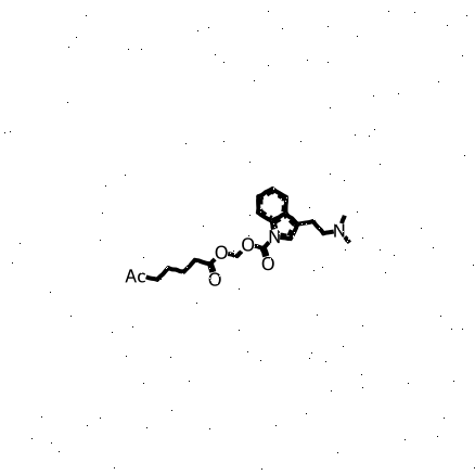 CC(=O)CCCCC(=O)OCOC(=O)n1cc(CCN(C)C)c2ccccc21